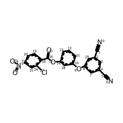 N#Cc1cc(C#N)cc(Oc2cccc(OC(=O)c3ccc([N+](=O)[O-])cc3Cl)c2)c1